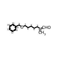 CN(C=O)CCCCCOCc1ccccc1